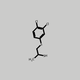 CC(S)CSc1ccc(Cl)c(Cl)c1